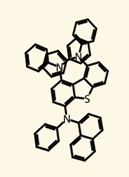 c1ccc(N(c2cccc3ccccc23)c2ccc(N(c3ccccc3)c3ccccc3)c3c2sc2cccc(N(c4ccccc4)c4ccccc4)c23)cc1